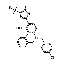 Oc1c(-c2cc(C(F)(F)F)[nH]n2)ccc(OCc2ccc(Cl)cc2)c1-c1ccccc1Cl